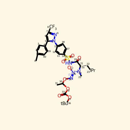 Cc1ccc(-c2cc(C(F)(F)F)nn2-c2ccc(S(=O)(=O)NC(=O)[C@H](CC(C)C)N(C)/[N+]([O-])=N/OC(C)OC(=O)OC(C)(C)C)cc2)cc1